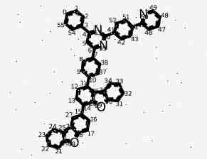 c1ccc(-c2cc(-c3ccc(-c4ccc(-c5ccc6oc7ccccc7c6c5)c5oc6ccccc6c45)cc3)nc(-c3ccc(-c4ccccn4)cc3)n2)cc1